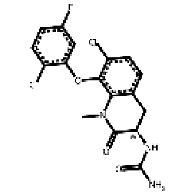 CN1C(=O)[C@H](NC(N)=O)Cc2ccc(Cl)c(Oc3cc(F)ccc3Cl)c21